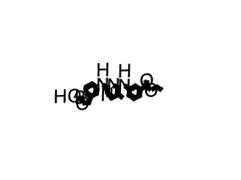 CCOC(=O)c1cccc(Nc2nc(Nc3ccc4c(c3)COB4O)ncc2C)c1